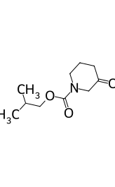 CC(C)COC(=O)N1CCCC(=O)C1